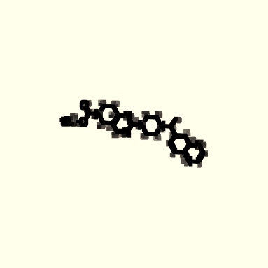 CC(c1ccc2nccnc2c1)N1CCN(c2ncc3c(n2)CCN(C(=O)OC(C)(C)C)C3)CC1